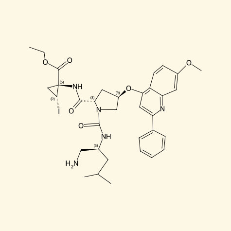 CCOC(=O)[C@@]1(NC(=O)[C@@H]2C[C@@H](Oc3cc(-c4ccccc4)nc4cc(OC)ccc34)CN2C(=O)N[C@H](CN)CC(C)C)C[C@H]1I